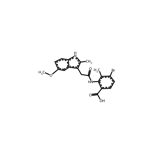 COc1ccc2[nH]c(C)c(CC(=O)Nc3c(C(=O)O)ccc(Br)c3C)c2c1